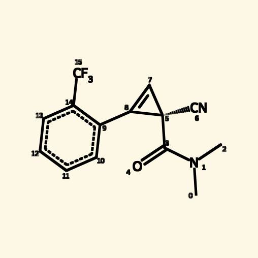 CN(C)C(=O)[C@]1(C#N)C=C1c1ccccc1C(F)(F)F